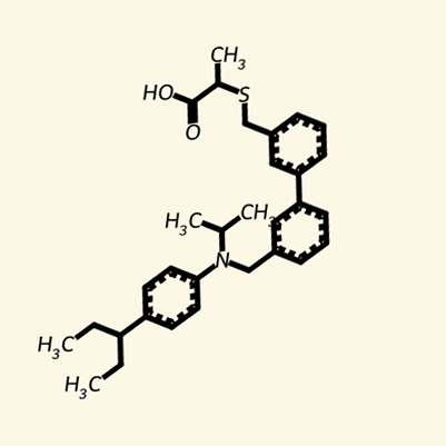 CCC(CC)c1ccc(N(Cc2cccc(-c3cccc(CSC(C)C(=O)O)c3)c2)C(C)C)cc1